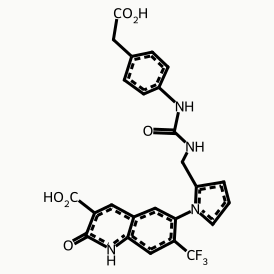 O=C(O)Cc1ccc(NC(=O)NCc2cccn2-c2cc3cc(C(=O)O)c(=O)[nH]c3cc2C(F)(F)F)cc1